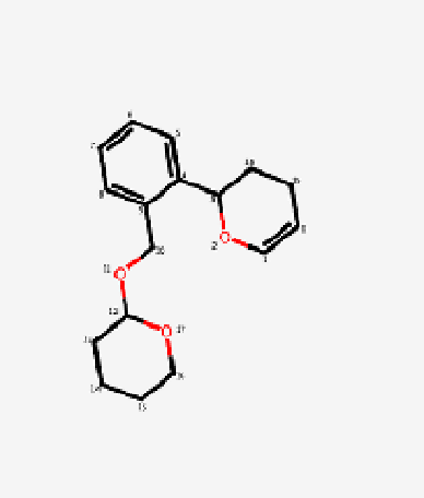 C1=COC(c2ccccc2COC2CCCCO2)CC1